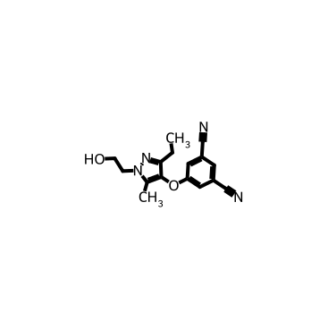 CCc1nn(CCO)c(C)c1Oc1cc(C#N)cc(C#N)c1